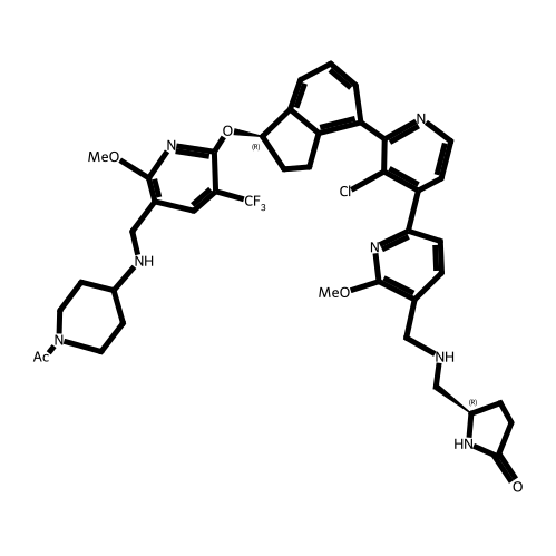 COc1nc(-c2ccnc(-c3cccc4c3CC[C@H]4Oc3nc(OC)c(CNC4CCN(C(C)=O)CC4)cc3C(F)(F)F)c2Cl)ccc1CNC[C@H]1CCC(=O)N1